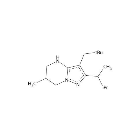 CC1CNc2c(CC(C)(C)C)c(C(C)C(C)C)nn2C1